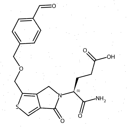 NC(=O)[C@H](CCC(=O)O)N1Cc2c(csc2COCc2ccc(C=O)cc2)C1=O